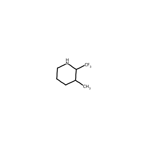 CC1CCCNC1C(F)(F)F